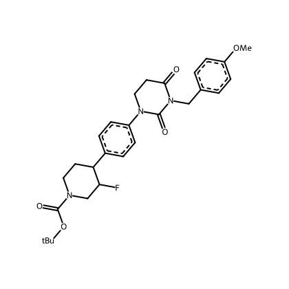 COc1ccc(CN2C(=O)CCN(c3ccc(C4CCN(C(=O)OC(C)(C)C)CC4F)cc3)C2=O)cc1